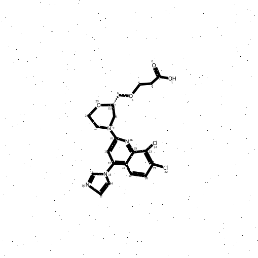 O=C(O)CCOC[C@@H]1CN(c2cc(-n3ccnc3)c3ccc(Cl)c(Cl)c3n2)CCO1